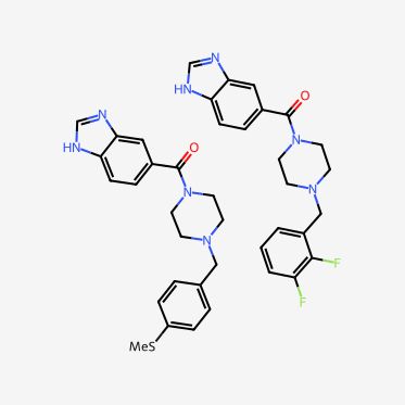 CSc1ccc(CN2CCN(C(=O)c3ccc4[nH]cnc4c3)CC2)cc1.O=C(c1ccc2[nH]cnc2c1)N1CCN(Cc2cccc(F)c2F)CC1